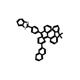 CC1(C)c2ccccc2-c2c(-c3c4ccccc4c(-c4ccc(-c5nc6ccccc6s5)cc4)c4ccc(-c5ccc6ccccc6c5)cc34)cccc21